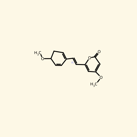 COc1cc(/C=C/C2=CCC(OC)C=C2)oc(=O)c1